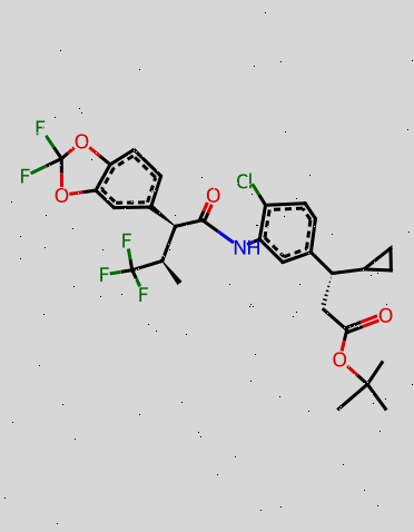 C[C@H]([C@H](C(=O)Nc1cc([C@@H](CC(=O)OC(C)(C)C)C2CC2)ccc1Cl)c1ccc2c(c1)OC(F)(F)O2)C(F)(F)F